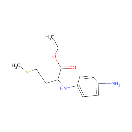 CCOC(=O)C(CCSC)Nc1ccc(N)cc1